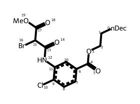 CCCCCCCCCCCCOC(=O)c1ccc(Cl)c(NC(=O)C(Br)C(=O)OC)c1